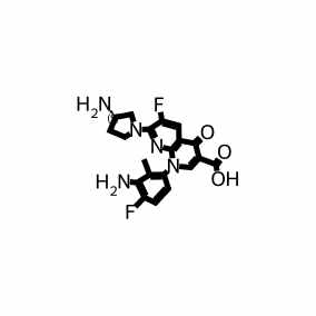 Cc1c(-n2cc(C(=O)O)c(=O)c3cc(F)c(N4CC[C@H](N)C4)nc32)ccc(F)c1N